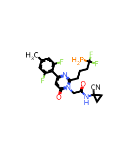 Cc1cc(F)c(-c2cc(=O)n(CC(=O)NC3(C#N)CC3)c(CCCC(F)(F)P)n2)c(F)c1